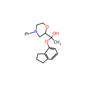 CC(C)N1CCOC(C(C)(O)Oc2cccc3c2CCC3)C1